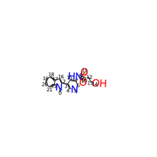 Cn1c(-c2cncc(NS(=O)(=O)CCO)c2)cc2ccccc21